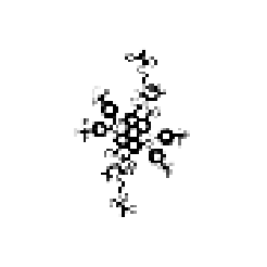 C=C(Cl)C(=O)OCCNC(=O)C(CC(C)C)N1C(=O)c2cc(Oc3ccc(C(F)(F)F)cc3)c3c4c(Oc5ccc(C(F)(F)F)cc5)cc5c6c(cc(Oc7ccc(C(F)(F)F)cc7)c(c7c(Oc8ccc(C(F)(F)F)cc8)cc(c2c37)C1=O)c64)C(=O)N(C(CC(C)C)C(=O)NCCOC(=O)C(=C)Cl)C5=O